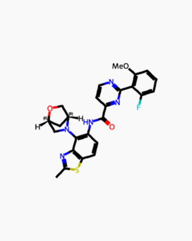 COc1cccc(F)c1-c1nccc(C(=O)Nc2ccc3sc(C)nc3c2N2C[C@H]3C[C@@H]2CO3)n1